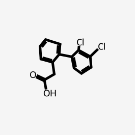 O=C(O)Cc1ccccc1-c1cccc(Cl)c1Cl